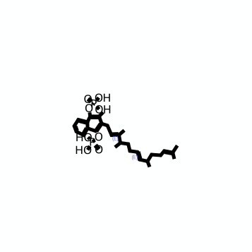 CC(C)=CCCC(C)/C=C/CCC(C)/C(C)=C/Cc1c(C)c(OP(=O)(O)O)c2ccccc2c1OP(=O)(O)O